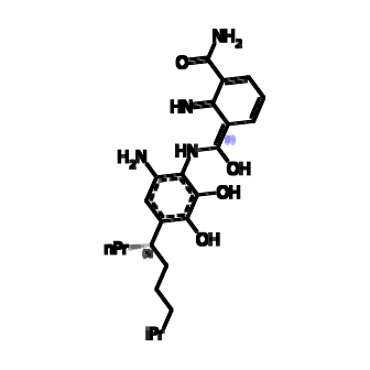 CCC[C@@H](CCCC(C)C)c1cc(N)c(N/C(O)=C2/C=CC=C(C(N)=O)C2=N)c(O)c1O